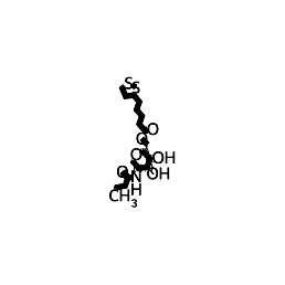 CCCC(=O)N[C@H]1CO[C@H](COC(=O)CCCCC2CCSS2)[C@@H](O)[C@@H]1O